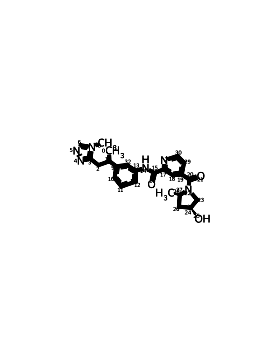 CC(Cc1nncn1C)c1cccc(NC(=O)c2cc(C(=O)N3C[C@@H](O)C[C@H]3C)ccn2)c1